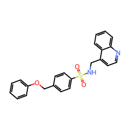 O=S(=O)(NCc1ccnc2ccccc12)c1ccc(COc2ccccc2)cc1